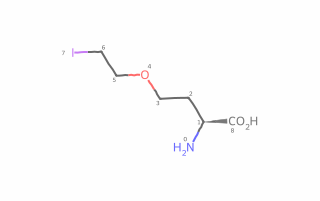 N[C@@H](CCOCCI)C(=O)O